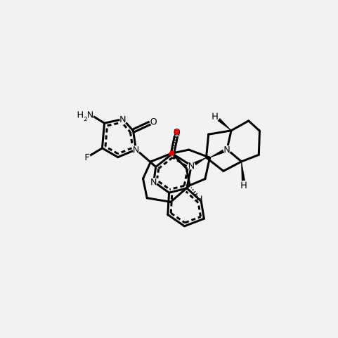 Nc1nc(=O)n(-c2nc3ccccc3n([C@@H]3C[C@H]4CCC[C@@H](C3)N4[C@@H]3C[C@@H]4CCCC[C@@H](C4)C3)c2=O)cc1F